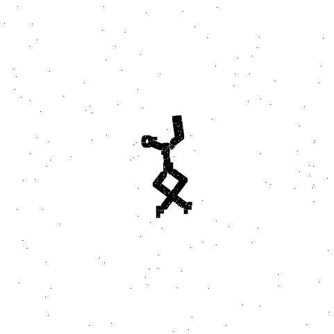 C=C[S+]([O-])N1CC(F)(F)C1